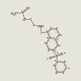 CC(=O)OCCNCc1cccc2cc(S(=O)(=O)c3ccccc3)ccc12